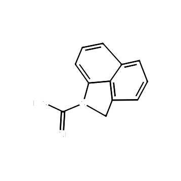 N=C(N)N1Cc2cccc3cccc1c23